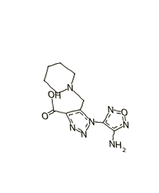 Nc1nonc1-n1nnc(C(=O)O)c1CN1CCCCC1